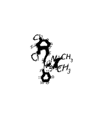 Cc1nc(N(CCc2ccc(Cl)cc2Cl)Cc2ccccc2)sc1C